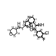 N=C(c1ccnc2nc(CNC3CCOCC3)[nH]c12)N(O)c1ccc(F)c(Cl)c1